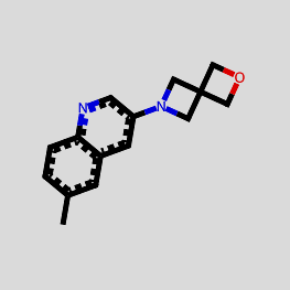 Cc1ccc2ncc(N3CC4(COC4)C3)cc2c1